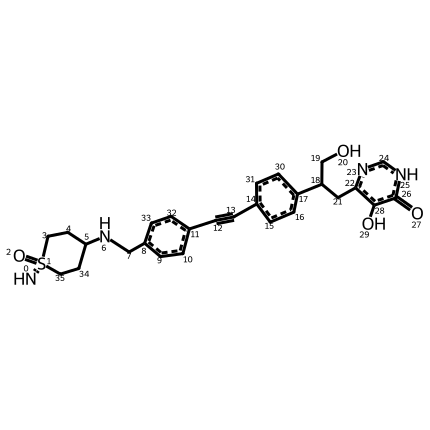 N=S1(=O)CCC(NCc2ccc(C#Cc3ccc(C(CO)Cc4nc[nH]c(=O)c4O)cc3)cc2)CC1